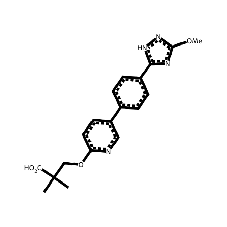 COc1n[nH]c(-c2ccc(-c3ccc(OCC(C)(C)C(=O)O)nc3)cc2)n1